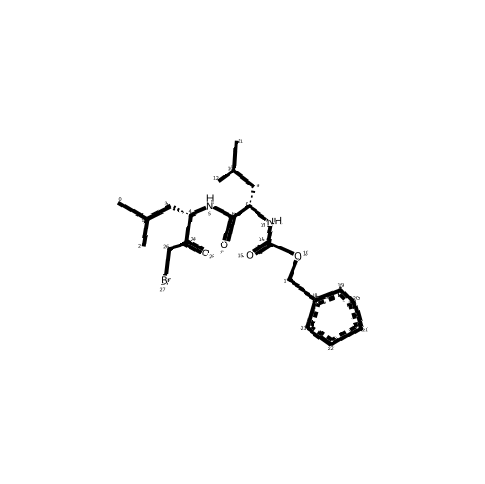 CC(C)C[C@H](NC(=O)[C@H](CC(C)C)NC(=O)OCc1ccccc1)C(=O)CBr